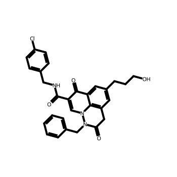 O=C(NCc1ccc(Cl)cc1)c1cn2c3c(cc(CCCO)cc3c1=O)CC(=O)N2Cc1ccccc1